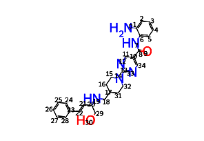 Nc1ccccc1NC(=O)c1cnc(N2CCC(CNC(/C=C/c3ccccc3)CO)CC2)nc1